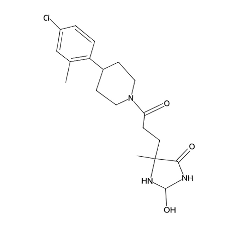 Cc1cc(Cl)ccc1C1CCN(C(=O)CCC2(C)NC(O)NC2=O)CC1